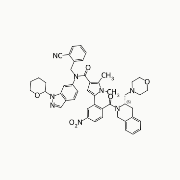 Cc1c(C(=O)N(Cc2ccccc2C#N)c2ccc3cnn(C4CCCCO4)c3c2)cc(-c2cc([N+](=O)[O-])ccc2C(=O)N2Cc3ccccc3C[C@H]2CN2CCOCC2)n1C